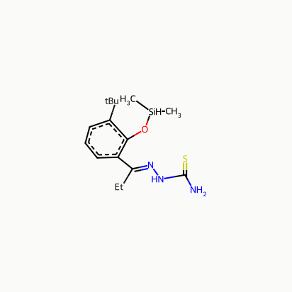 CCC(=NNC(N)=S)c1cccc(C(C)(C)C)c1O[SiH](C)C